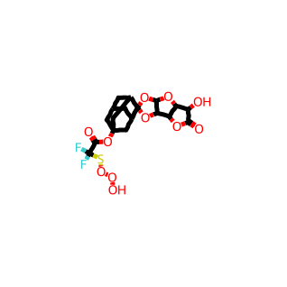 O=C1OC2C3OC4(OC3OC2C1O)C1CC2CC4CC(OC(=O)C(F)(F)SOOO)(C2)C1